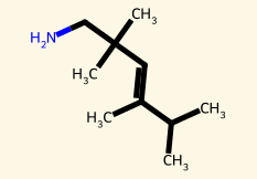 C/C(=C\C(C)(C)CN)C(C)C